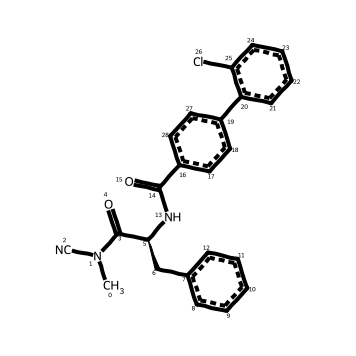 CN(C#N)C(=O)[C@H](Cc1ccccc1)NC(=O)c1ccc(-c2ccccc2Cl)cc1